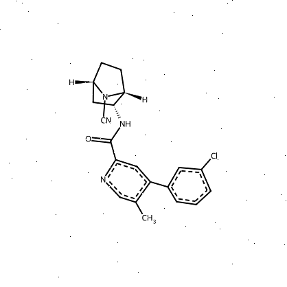 Cc1cnc(C(=O)N[C@@H]2C[C@@H]3CC[C@H]2N3C#N)cc1-c1cccc(Cl)c1